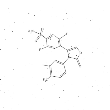 Cc1cc(-n2c(-c3cc(F)c(S(N)(=O)=O)cc3F)coc2=O)ccc1C(F)(F)F